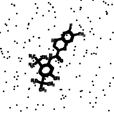 Cc1cc2c(cc1F)NCC(C(=O)Nc1cc(O)c(C(C)(C)C)cc1C(C)(C)C)O2